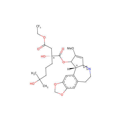 COC1=CC23CCCN2CCc2cc4c(cc2[C@@H]3C1OC(=O)[C@@](O)(CCCC(C)(C)O)CC(=O)OCC(F)(F)F)OCO4